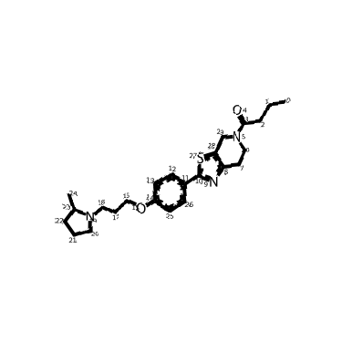 CCCC(=O)N1CCc2nc(-c3ccc(OCCCN4CCCC4C)cc3)sc2C1